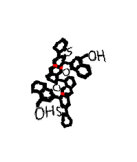 OCc1cc(-c2cccc3c2sc2ccccc23)c(Oc2ccc3ccccc3c2-c2c(Oc3c(-c4cccc5c4sc4ccccc45)cc(CO)c4ccccc34)ccc3ccccc23)c2ccccc12